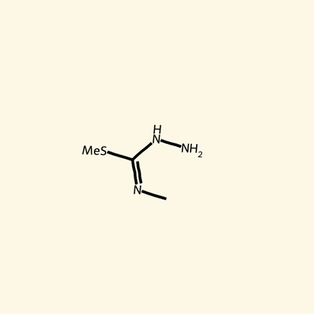 CN=C(NN)SC